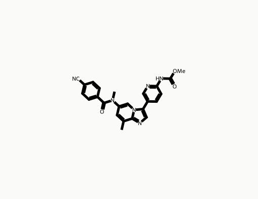 COC(=O)Nc1ccc(-c2cnc3c(C)cc(N(C)C(=O)c4ccc(C#N)cc4)cn23)cn1